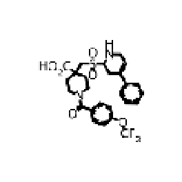 O=C(c1ccc(OC(F)(F)F)cc1)N1CCC(CS(=O)(=O)C2CC(c3ccccc3)=CCN2)(C(=O)O)CC1